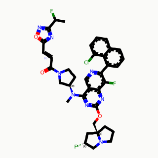 CC(F)c1noc(/C=C/C(=O)N2CC[C@@H](N(C)c3nc(OC[C@@]45CCCN4C[C@H](F)C5)nc4c(F)c(-c5cccc6cccc(Cl)c56)ncc34)C2)n1